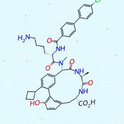 C[C@@H]1NC(=O)[C@@H](N(C)C(=O)[C@H](CCCCN)NC(=O)c2ccc(-c3ccc(Cl)cc3)cc2)c2ccc(C3CCC3)c(c2)-c2cc(ccc2O)C[C@@H](C(=O)O)NC1=O